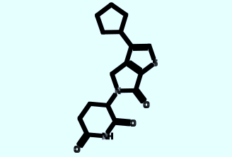 O=C1CCC(N2Cc3c(C4CCCC4)csc3C2=O)C(=O)N1